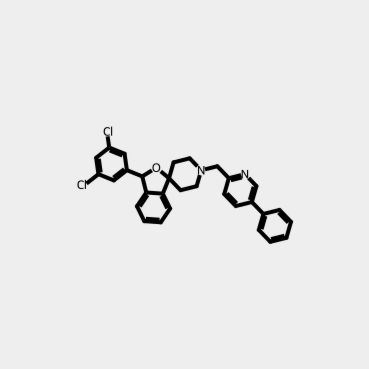 Clc1cc(Cl)cc(C2OC3(CCN(Cc4ccc(-c5ccccc5)cn4)CC3)c3ccccc32)c1